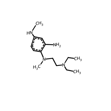 CCN(CC)CCN(C)c1ccc(NC)cc1N